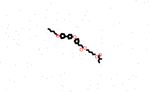 CCCCCCOc1ccc(-c2ccc(Oc3ccc(/C=C/C(=O)OCCCCCCOC(=O)C(C)CC)cc3)cc2)cc1